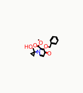 COC(=O)c1c(OCc2ccccc2)c(=O)ccn1C1(CO)CC1